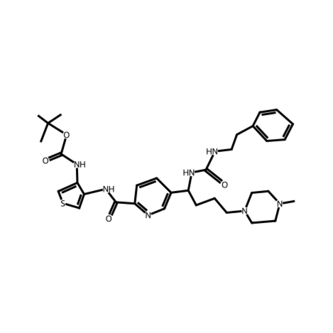 CN1CCN(CCCC(NC(=O)NCCc2ccccc2)c2ccc(C(=O)Nc3cscc3NC(=O)OC(C)(C)C)nc2)CC1